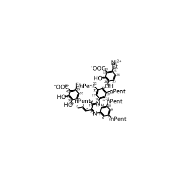 CC=CC(=Nc1cc(CCCCC)cc(CCCCC)c1)C(CCCCC)=Nc1cc(CCCCC)cc(CCCCC)c1.CCc1ccc(O)c(O)c1C(=O)[O-].CCc1ccc(O)c(O)c1C(=O)[O-].[Ni+2]